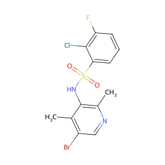 Cc1ncc(Br)c(C)c1NS(=O)(=O)c1cccc(F)c1Cl